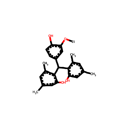 CCOc1cc(C(c2c(C)cc(C)cc2O)c2c(C)cc(C)cc2O)ccc1O